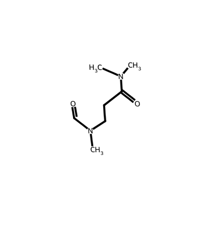 CN(C=O)CCC(=O)N(C)C